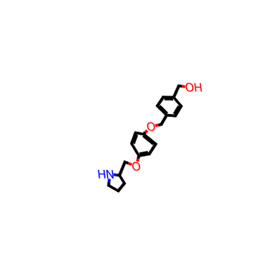 OCc1ccc(COc2ccc(OCC3CCCN3)cc2)cc1